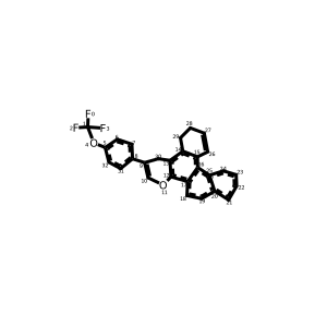 FC(F)(F)Oc1ccc(C2=COc3c(c4c(c5c3ccc3ccccc35)C=CCC4)C2)cc1